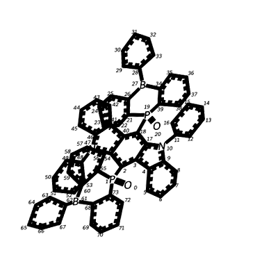 O=P1(c2c3c4ccccc4n(-c4ccccc4)c3c(P3(=O)c4ccccc4B(c4ccccc4)c4ccccc43)c3c4ccccc4n(-c4ccccc4)c23)c2ccccc2B(c2ccccc2)c2ccccc21